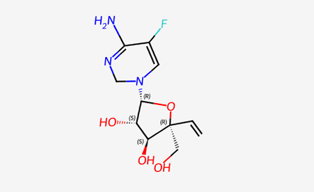 C=C[C@]1(CO)O[C@@H](N2C=C(F)C(N)=NC2)[C@@H](O)[C@@H]1O